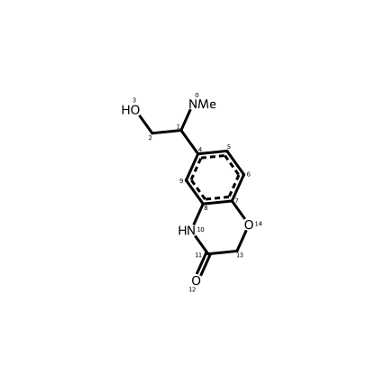 CNC(CO)c1ccc2c(c1)NC(=O)CO2